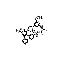 COc1cc(N2CCN(c3nc(C(F)(F)F)nc(-c4ccc(F)cc4)c3-c3cccc(S(N)(=O)=O)c3)CC2)cc(OC)n1